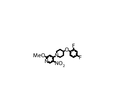 COc1cc(N2CCC(Oc3ccc(F)cc3F)CC2)c([N+](=O)[O-])cn1